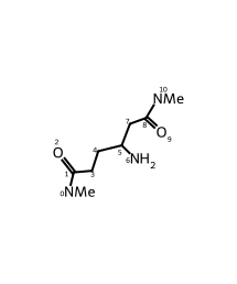 CNC(=O)CCC(N)CC(=O)NC